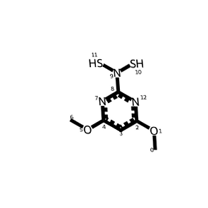 COc1cc(OC)nc(N(S)S)n1